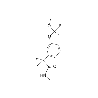 CNC(=O)C1(c2cccc(OC(C)(F)OC)c2)CC1